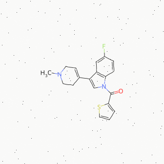 CN1CC=C(c2cn(C(=O)c3cccs3)c3ccc(F)cc23)CC1